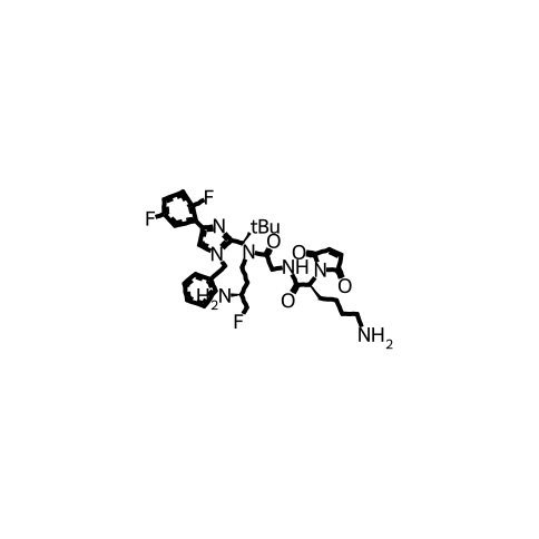 CC(C)(C)[C@H](c1nc(-c2cc(F)ccc2F)cn1Cc1ccccc1)N(CC[C@H](N)CF)C(=O)CNC(=O)[C@H](CCCCN)N1C(=O)C=CC1=O